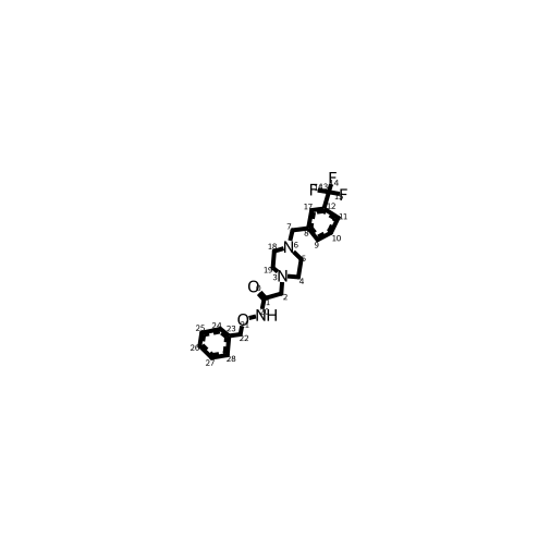 O=C(CN1CCN(Cc2cccc(C(F)(F)F)c2)CC1)NOCc1ccccc1